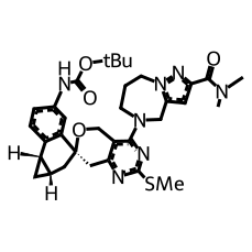 CSc1nc2c(c(N3CCCn4nc(C(=O)N(C)C)cc4C3)n1)CO[C@@]1(C2)C[C@@H]2C[C@@H]2c2ccc(NC(=O)OC(C)(C)C)cc21